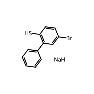 Sc1ccc(Br)cc1-c1ccccc1.[NaH]